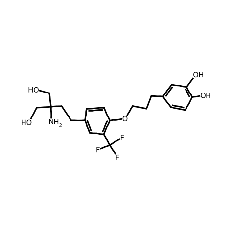 NC(CO)(CO)CCc1ccc(OCCCc2ccc(O)c(O)c2)c(C(F)(F)F)c1